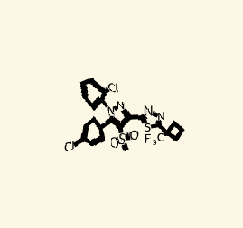 CS(=O)(=O)c1c(-c2nnc(C3(C(F)(F)F)CCC3)s2)nn(-c2ccccc2Cl)c1C1C=CC(Cl)=CC1